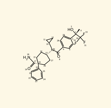 C[C@](O)(c1ccc(C(=O)N(C2CC2)[C@H]2CC[C@](C(N)=O)(c3ccccc3)CC2)cc1)C(F)(F)F